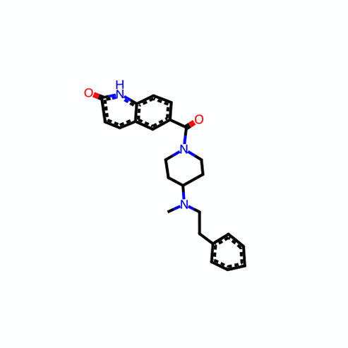 CN(CCc1ccccc1)C1CCN(C(=O)c2ccc3[nH]c(=O)ccc3c2)CC1